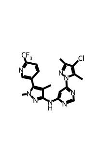 Cc1nn(-c2cc(Nc3nn(C)c(-c4ccc(C(F)(F)F)nc4)c3C)ncn2)c(C)c1Cl